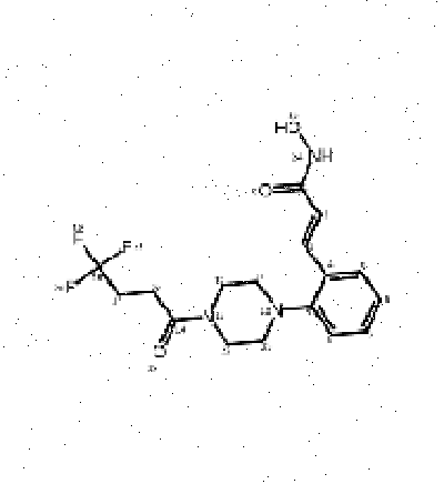 O=C(C=Cc1ccccc1N1CCN(C(=O)CCC(F)(F)F)CC1)NO